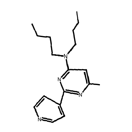 CCCCN(CCCC)c1cc(C)nc(-c2ccncc2)n1